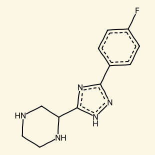 Fc1ccc(-c2n[nH]c(C3CNCCN3)n2)cc1